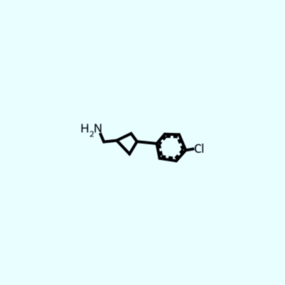 NCC1CC(c2ccc(Cl)cc2)C1